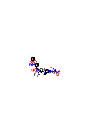 CC(C)(CCn1ccc2cc(C(=O)Nc3ncc([N+](=O)[O-])s3)ccc21)NC[C@H](O)c1cccc(NS(=O)(=O)c2ccccc2)c1